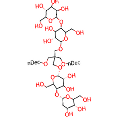 CCCCCCCCCCOCC(COCCCCCCCCCC)(COC1OC(CO)[C@H](OC2OC(CO)[C@H](O)C(O)[C@H]2O)C(O)[C@H]1O)CO[C@H]1OC(CO)[C@H](O[C@H]2CC(O)[C@@H](O)C(CO)O2)C(O)[C@H]1O